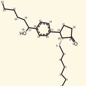 CCCCCCC[C@H]1C(=O)CCC1c1ccc(C(O)CCCCC)cc1